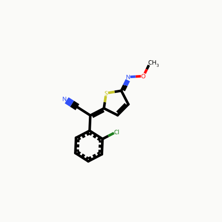 CON=C1C=C/C(=C(/C#N)c2ccccc2Cl)S1